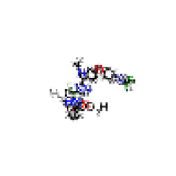 CC(F)(F)c1nc(-c2cn(C3CC3)c3cc(O[C@H]4CC[C@H](N5CC(F)(F)C5)CC4)ccc23)ncc1C(=O)NC1(C(=O)O)C2CC3CC(C2)CC1C3